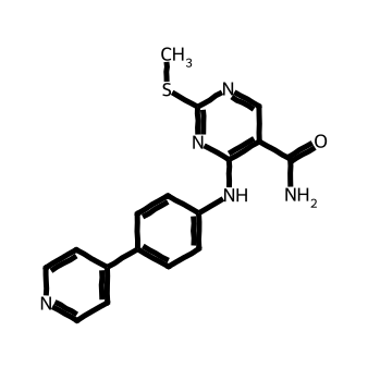 CSc1ncc(C(N)=O)c(Nc2ccc(-c3ccncc3)cc2)n1